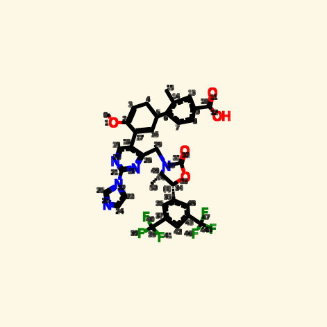 COC1=CCC(c2ccc(C(=O)O)cc2C)C=C1c1cnc(-n2ccnc2)nc1CN1C(=O)O[C@H](c2cc(C(F)(F)F)cc(C(F)(F)F)c2)[C@@H]1C